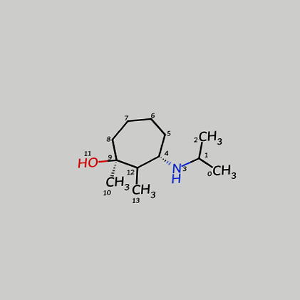 CC(C)N[C@H]1CCCC[C@](C)(O)C1C